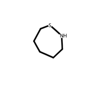 C1CCNSCC1